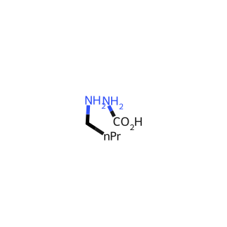 CCCCN.NC(=O)O